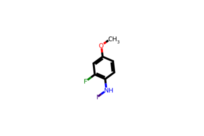 COc1ccc(NI)c(F)c1